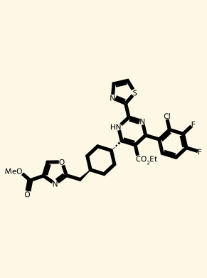 CCOC(=O)C1=C([C@H]2CC[C@H](Cc3nc(C(=O)OC)co3)CC2)NC(c2nccs2)=NC1c1ccc(F)c(F)c1Cl